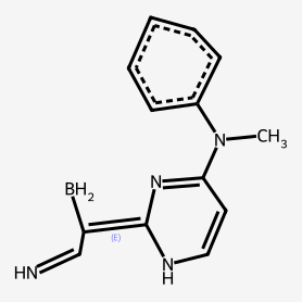 B/C(C=N)=C1\N=C(N(C)c2ccccc2)C=CN1